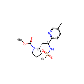 Cc1ccc([C@H](C[C@@H]2CCCN2C(=O)OC(C)(C)C)NS(=O)(=O)C(C)(C)C)nc1